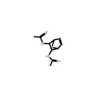 CC(=O)OC1C2C=CC(O2)C1OC(C)=O